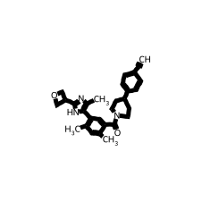 C#Cc1ccc(C2CCN(C(=O)c3cc(-c4[nH]c(C5COC5)nc4C)c(C)cc3C)CC2)cc1